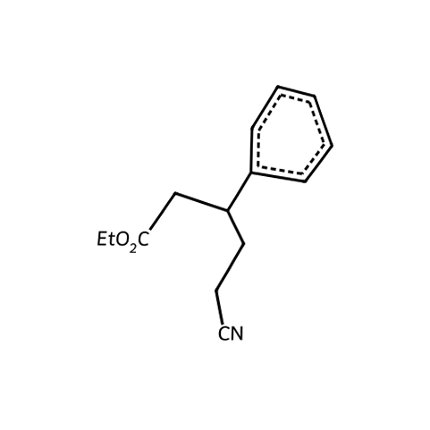 CCOC(=O)CC(CCC#N)c1ccccc1